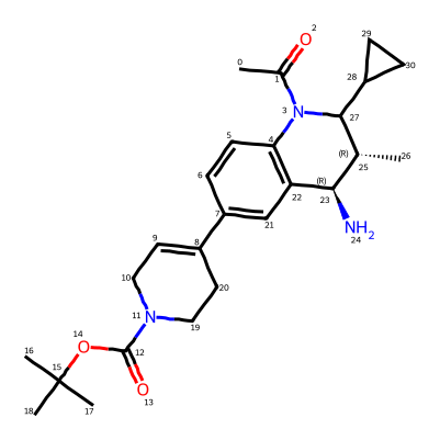 CC(=O)N1c2ccc(C3=CCN(C(=O)OC(C)(C)C)CC3)cc2[C@H](N)[C@@H](C)C1C1CC1